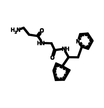 NCCC(=O)NCC(=O)NC(Cc1ccccn1)c1ccccc1